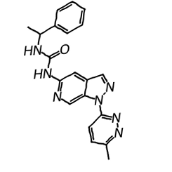 Cc1ccc(-n2ncc3cc(NC(=O)NC(C)c4ccccc4)ncc32)nn1